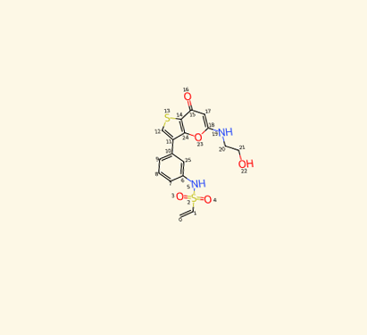 C=CS(=O)(=O)Nc1cccc(-c2csc3c(=O)cc(NCCO)oc23)c1